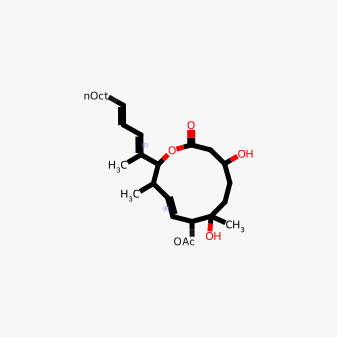 CCCCCCCCC=C/C=C(\C)C1OC(=O)CC(O)CCC(C)(O)C(OC(C)=O)/C=C/C1C